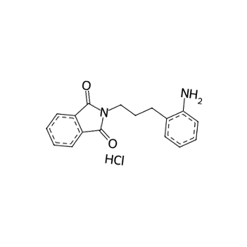 Cl.Nc1ccccc1CCCN1C(=O)c2ccccc2C1=O